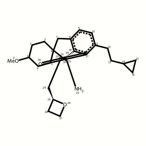 COC1CCC2(CC1)Cc1ccc(CCC3CC3)cc1[C@]21N=C(N)N(C[C@@H]2CCO2)C1=O